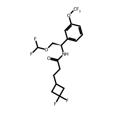 O=C(CCC1CC(F)(F)C1)N[C@@H](COC(F)F)c1cccc(OC(F)(F)F)c1